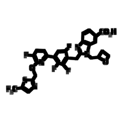 O=C(O)c1ccc2nc(Cc3c(F)cc(-c4ccc(F)c(OCc5ncc(C(F)(F)F)s5)n4)c(F)c3F)n(CC3CCO3)c2c1